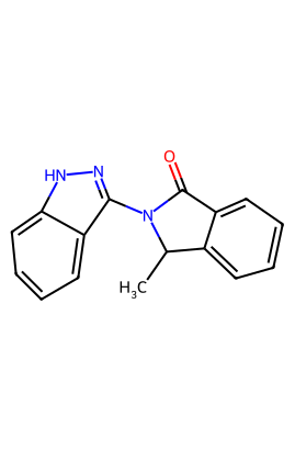 CC1c2ccccc2C(=O)N1c1n[nH]c2ccccc12